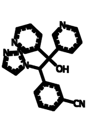 N#Cc1cccc(C(n2ccnn2)C(O)(c2cccnc2)c2cccnc2)c1